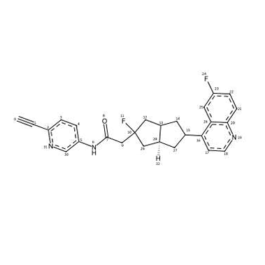 C#Cc1ccc(NC(=O)CC2(F)CC3CC(c4ccnc5ccc(F)cc45)C[C@H]3C2)cn1